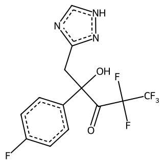 O=C(C(O)(Cc1nc[nH]n1)c1ccc(F)cc1)C(F)(F)C(F)(F)F